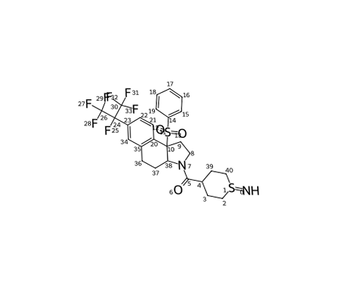 N=S1CCC(C(=O)N2CCC3(S(=O)(=O)c4ccccc4)c4ccc(C(F)(C(F)(F)F)C(F)(F)F)cc4CCC23)CC1